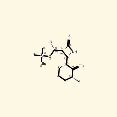 C[C@@H]1CCC[C@H]([C@H]2NC(=O)[C@H]2[C@@H](C)O[Si](C)(C)C(C)(C)C)C1=O